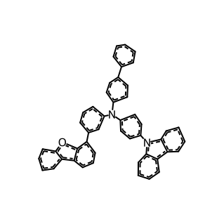 c1ccc(-c2ccc(N(c3ccc(-n4c5ccccc5c5ccccc54)cc3)c3cccc(-c4cccc5c4oc4ccccc45)c3)cc2)cc1